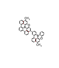 Cc1ccc2c(c1)Oc1ccccc1B2c1ccc(-c2ccc3c(c2)Oc2cc(C)ccc2B3c2c(-c3ccccc3)cccc2-c2ccccc2)cc1-c1ccccc1